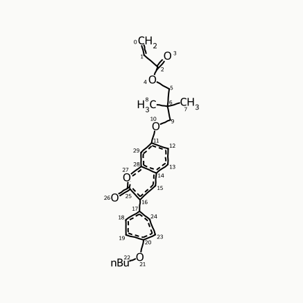 C=CC(=O)OCC(C)(C)COc1ccc2cc(-c3ccc(OCCCC)cc3)c(=O)oc2c1